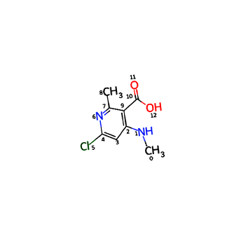 CNc1cc(Cl)nc(C)c1C(=O)O